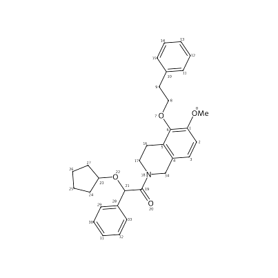 COc1ccc2c(c1OCCc1ccccc1)CCN(C(=O)C(OC1CCCC1)c1ccccc1)C2